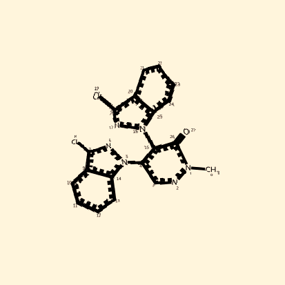 Cn1ncc(-n2nc(Cl)c3ccccc32)c(-n2nc(Cl)c3ccccc32)c1=O